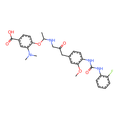 COc1cc(CC(=O)CNC(C)Oc2ccc(C(=O)O)cc2N(C)C)ccc1NC(=O)Nc1ccccc1F